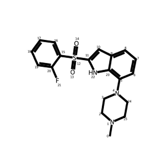 CN1CCN(c2cccc3cc(S(=O)(=O)c4ccccc4F)[nH]c23)CC1